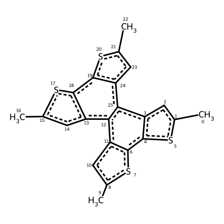 Cc1cc2c(s1)c1sc(C)cc1c1c3cc(C)sc3c3sc(C)cc3c21